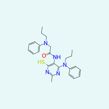 CCCN(CC(=O)Nc1c(S)nc(C)nc1N(CCC)c1ccccc1)c1ccccc1